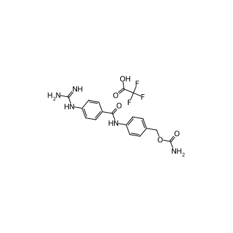 N=C(N)Nc1ccc(C(=O)Nc2ccc(COC(N)=O)cc2)cc1.O=C(O)C(F)(F)F